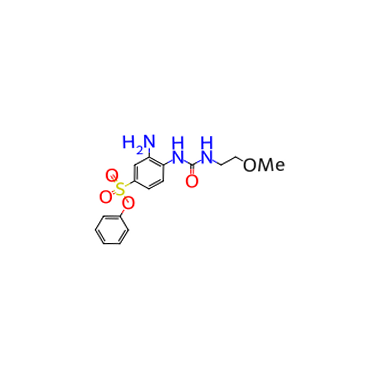 COCCNC(=O)Nc1ccc(S(=O)(=O)Oc2ccccc2)cc1N